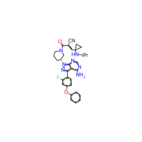 CC(C)NC1(C=C(C#N)C(=O)N2CCC[C@@H](n3nc(-c4ccc(Oc5ccccc5)cc4F)c4c(N)ncnc43)C2)CC1